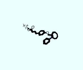 COC(=O)CCCc1ccc(OC/C2=C(\c3ccccc3)CCCCCC2)cc1